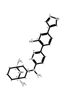 CN(c1ccc(-c2ccc(-c3cn[nH]c3)cc2O)nn1)[C@@H]1C[C@]2(C)CCC[C@](C)(C1)N2